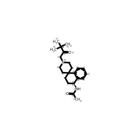 CC(=O)N[C@H]1CCC2(CCN(CC(=O)C(C)(C)C)CC2)c2ccccc21